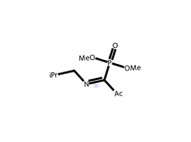 COP(=O)(OC)/C(=N\CC(C)C)C(C)=O